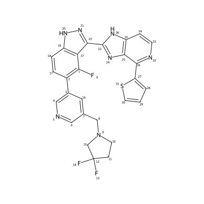 Fc1c(-c2cncc(CN3CCC(F)(F)C3)c2)ccc2[nH]nc(-c3nc4c(-c5cccs5)nccc4[nH]3)c12